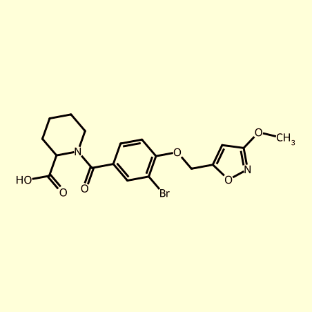 COc1cc(COc2ccc(C(=O)N3CCCCC3C(=O)O)cc2Br)on1